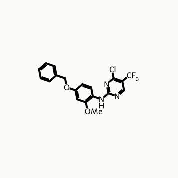 COc1cc(OCc2ccccc2)ccc1Nc1ncc(C(F)(F)F)c(Cl)n1